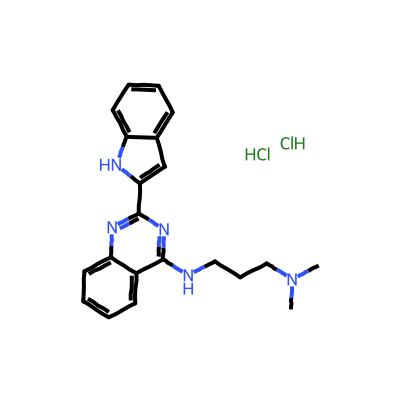 CN(C)CCCNc1nc(-c2cc3ccccc3[nH]2)nc2ccccc12.Cl.Cl